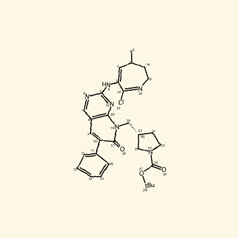 CC1C=C(Nc2ncc3cc(-c4ccccc4)c(=O)n(C[C@@H]4CCN(C(=O)OC(C)(C)C)C4)c3n2)C(Cl)=NCC1